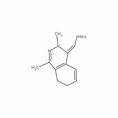 CCCCCCC=C1C2=C(CCC=C2)C(C)=NN1C